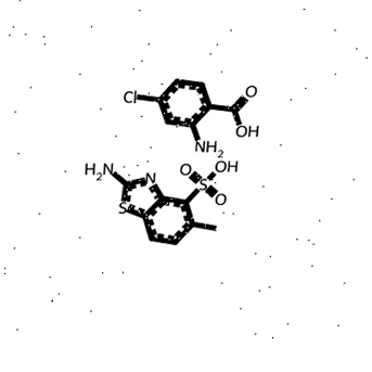 Cc1ccc2sc(N)nc2c1S(=O)(=O)O.Nc1cc(Cl)ccc1C(=O)O